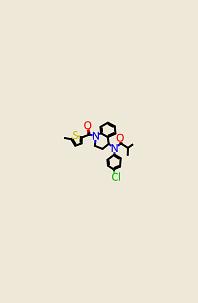 Cc1ccc(C(=O)N2CCC(N(C(=O)C(C)C)c3ccc(Cl)cc3)c3ccccc32)s1